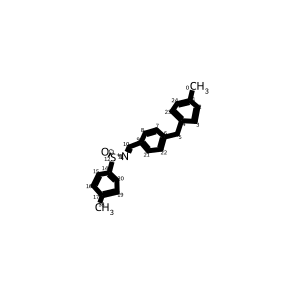 Cc1ccc(Cc2ccc(/C=N/[S+]([O-])c3ccc(C)cc3)cc2)cc1